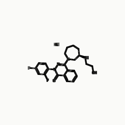 Cl.O=c1c2ccccc2c(N2CCCC[C@@H](NCCO)C2)nn1-c1ccc(F)cc1F